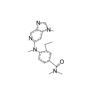 CCc1cc(C(=O)N(C)C)ccc1N(C)c1cc2c(cn1)ncn2C